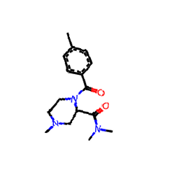 Cc1ccc(C(=O)N2CCN(C)CC2C(=O)N(C)C)cc1